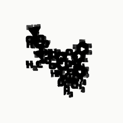 C=C[C@@H]1C[C@]1(NC(=O)[C@@H]1CC(Oc2nc(-c3ccccc3)cc3ccccc23)CN1C(=O)[C@@H](NC(=O)OC(C)(C)C)[C@H](C)OCC)C(=O)NS(=O)(=O)C1CC1